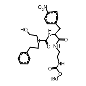 CC(C)(C)OC(=O)NCCNC(=O)[C@H](Cc1ccc([N+](=O)[O-])cc1)NC(=O)N(CCO)CCc1ccccc1